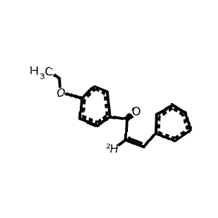 [2H]C(=Cc1ccccc1)C(=O)c1ccc(OCC)cc1